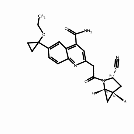 CCOC1(c2ccc3nc(CC(=O)N4[C@H](C#N)C[C@@H]5C[C@@H]54)cc(C(N)=O)c3c2)CC1